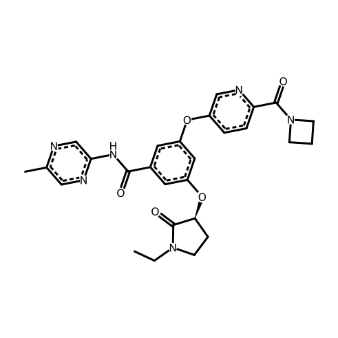 CCN1CC[C@H](Oc2cc(Oc3ccc(C(=O)N4CCC4)nc3)cc(C(=O)Nc3cnc(C)cn3)c2)C1=O